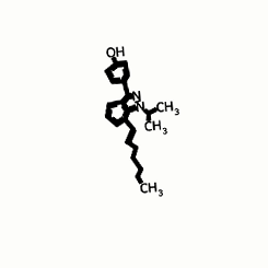 CCCCCC=Cc1cccc2c(-c3ccc(O)cc3)nn(C(C)C)c12